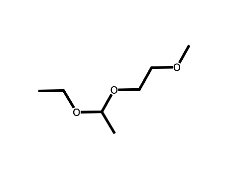 CCOC(C)OCCOC